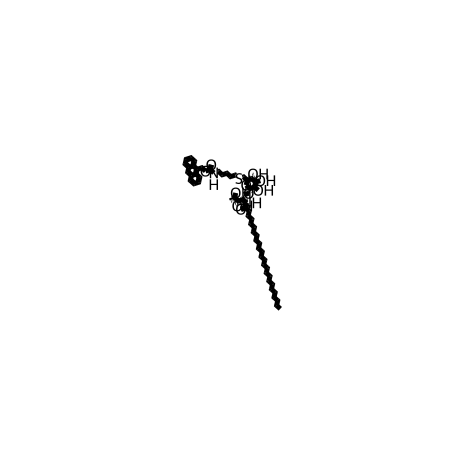 CCCCCCCCCCCCCCCCCCCCCCCCCC(=O)N[C@@H](CO[C@H]1OC(CSCCCCCNC(=O)OCc2c3ccccc3cc3ccccc23)[C@H](O)C(O)C1O)[C@H](O)[C@@H](C)O